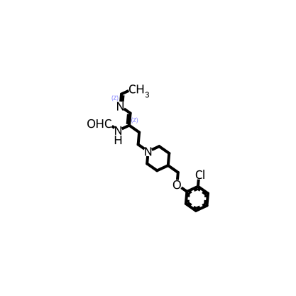 C/C=N\C=C(\CCN1CCC(COc2ccccc2Cl)CC1)NC=O